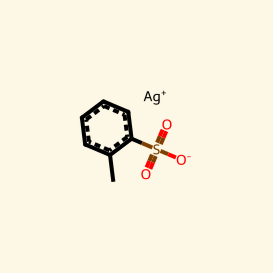 Cc1ccccc1S(=O)(=O)[O-].[Ag+]